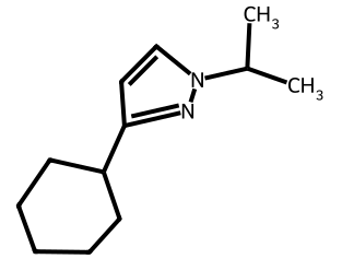 CC(C)n1ccc(C2CCCCC2)n1